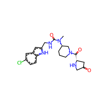 CN(C(=O)NCc1cc2cc(Cl)ccc2[nH]1)[C@@H]1CCCN(C(=O)[C@@H]2CC(=O)CN2)C1